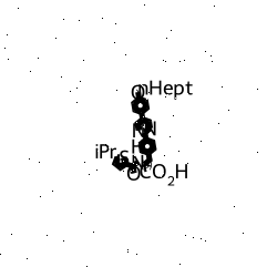 CCCCCCCOc1ccc(-c2cnc(-c3ccc(C[C@H](NC(=O)c4ccc(C(C)C)s4)C(=O)O)cc3)nc2)cc1